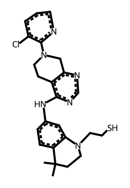 CC1(C)CCN(CCS)c2cc(Nc3ncnc4c3CCN(c3ncccc3Cl)C4)ccc21